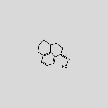 O/N=C1/CCC2CCCc3cccc1c32